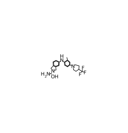 Cc1cc(N2CCC(C(F)(F)F)CC2)ccc1Nc1ccc2c(c1)CN(C(N)O)C2